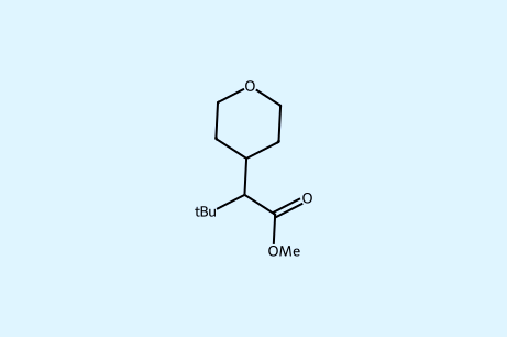 COC(=O)C(C1CCOCC1)C(C)(C)C